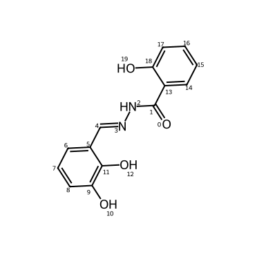 O=C(NN=Cc1cccc(O)c1O)c1ccccc1O